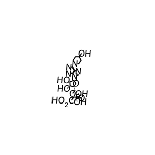 O=C(O)C(OC[C@H]1O[C@@H](n2cnc3c(N4CCC(O)CC4)ncnc32)[C@H](O)[C@@H]1O)P(=O)(O)O